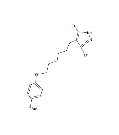 CCc1n[nH]c(CC)c1CCCCCCOc1ccc(OC)cc1